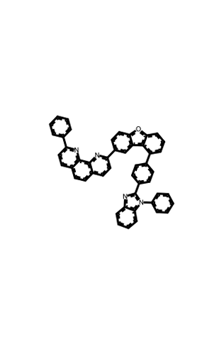 c1ccc(-c2ccc3ccc4ccc(-c5ccc6oc7cccc(-c8ccc(-c9nc%10ccccc%10n9-c9ccccc9)cc8)c7c6c5)nc4c3n2)cc1